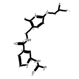 Cc1nc(OCC(F)F)ccc1CNC(=O)c1ccnc(NC(=O)C(C)C)c1